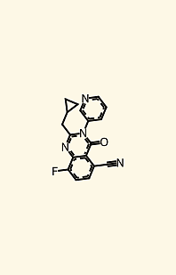 N#Cc1ccc(F)c2nc(CC3CC3)n(-c3cccnc3)c(=O)c12